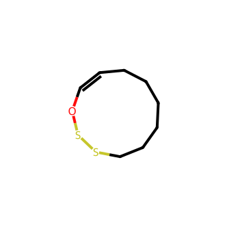 C1=C\OSSCCCCCC/1